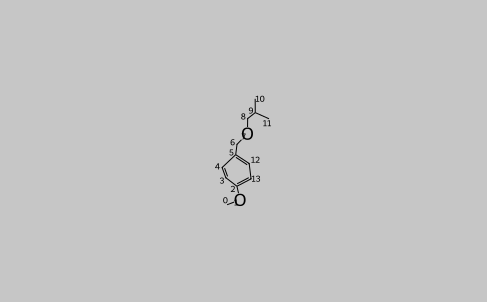 COc1ccc(COCC(C)C)cc1